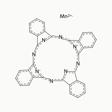 [Mn+2].c1ccc2c(c1)-c1nc-2nc2[n-]c(nc3nc(nc4[n-]c(n1)c1ccccc41)-c1ccccc1-3)c1ccccc21